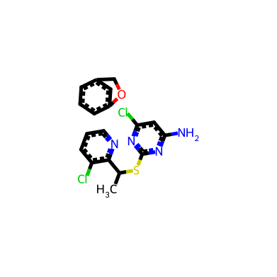 CC(Sc1nc(N)cc(Cl)n1)c1ncccc1Cl.c1cc2cc(c1)OC2